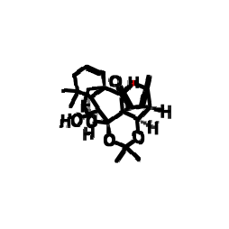 C=C1C(=O)[C@@]23[C@@H]4OC(C)(C)O[C@]25OCC[C@]2(C=CCC(C)(C)[C@H]2[C@@H]5O)[C@@H]3CC[C@@H]14